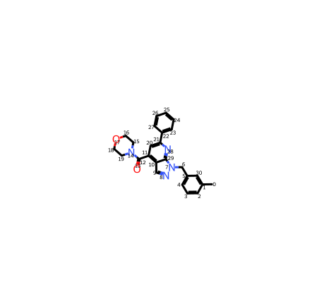 Cc1cccc(Cn2ncc3c(C(=O)N4CCOCC4)cc(-c4ccccc4)nc32)c1